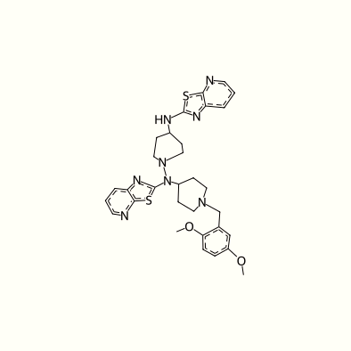 COc1ccc(OC)c(CN2CCC(N(c3nc4cccnc4s3)N3CCC(Nc4nc5cccnc5s4)CC3)CC2)c1